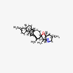 CC1=C2C[C@H]3[C@@H](CC[C@@H]4C[C@H](C)CC[C@@]43C)[C@@H]2CC[C@@]2(C1)O[C@@H]1C[C@H](C)CN[C@H]1[C@H]2C